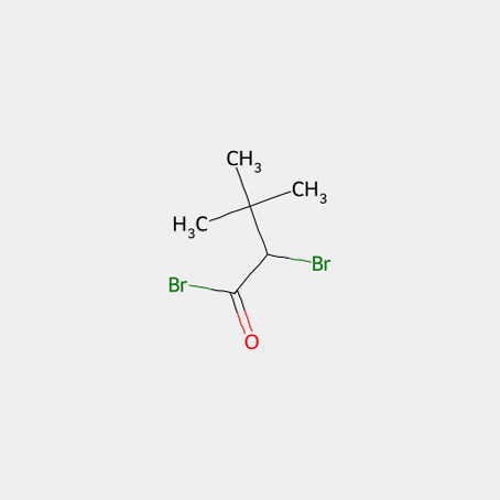 CC(C)(C)C(Br)C(=O)Br